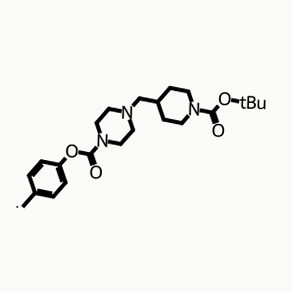 [CH2]c1ccc(OC(=O)N2CCN(CC3CCN(C(=O)OC(C)(C)C)CC3)CC2)cc1